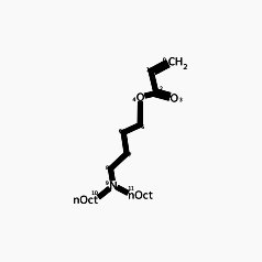 C=CC(=O)OCCCCN(CCCCCCCC)CCCCCCCC